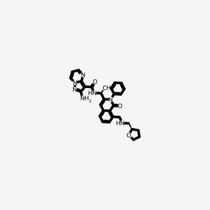 C[C@H](NC(=O)c1c(N)nn2cccnc12)c1cc2cccc(CNC[C@H]3CCCO3)c2c(=O)n1-c1ccccc1